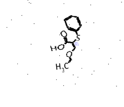 CCO/C=C(/Sc1ccccc1)C(=O)O